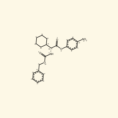 O=C(N[C@@H](C(=O)Oc1ccc([N+](=O)[O-])cc1)C1CCCCC1)OCc1ccccc1